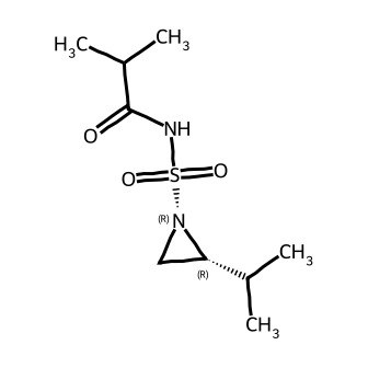 CC(C)C(=O)NS(=O)(=O)[N@@]1C[C@H]1C(C)C